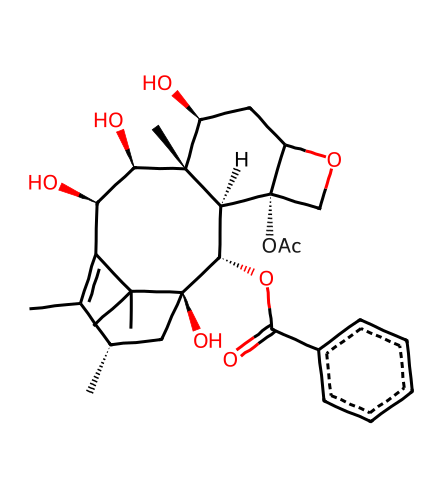 CC(=O)O[C@@]12COC1C[C@H](O)[C@@]1(C)[C@H](O)[C@H](O)C3=C(C)[C@@H](C)C[C@@](O)([C@@H](OC(=O)c4ccccc4)[C@@H]12)C3(C)C